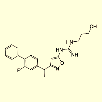 CC(c1ccc(-c2ccccc2)c(F)c1)c1cc(NC(=N)NCCCO)on1